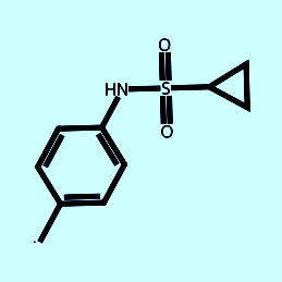 [CH2]c1ccc(NS(=O)(=O)C2CC2)cc1